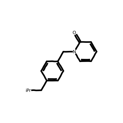 CC(C)Cc1ccc(Cn2ccccc2=O)cc1